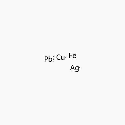 [Ag].[Cu].[Fe].[Pb]